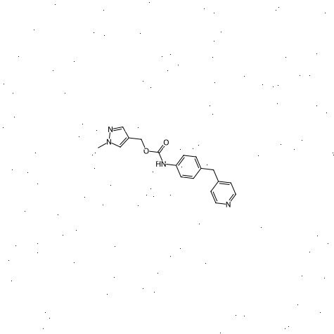 Cn1cc(COC(=O)Nc2ccc(Cc3ccncc3)cc2)cn1